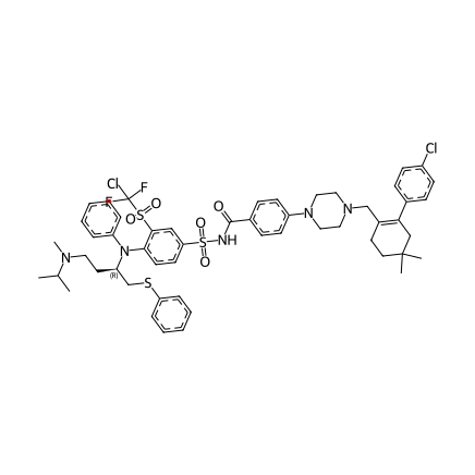 CC(C)N(C)CC[C@H](CSc1ccccc1)N(c1ccccc1)c1ccc(S(=O)(=O)NC(=O)c2ccc(N3CCN(CC4=C(c5ccc(Cl)cc5)CC(C)(C)CC4)CC3)cc2)cc1S(=O)(=O)C(F)(F)Cl